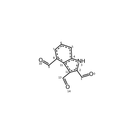 O=Cc1[nH]c2cccc(C=O)c2c1C=O